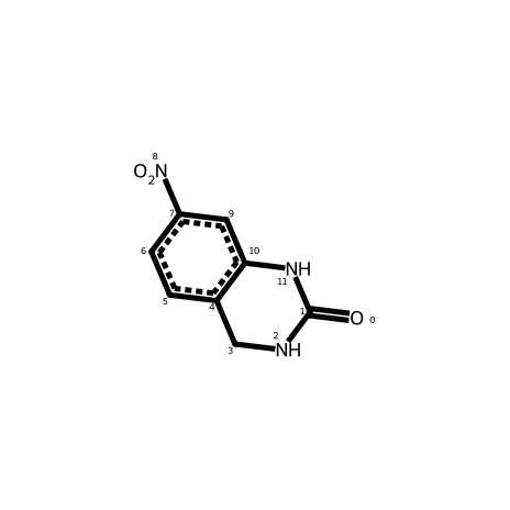 O=C1NCc2ccc([N+](=O)[O-])cc2N1